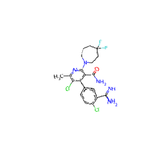 Cc1nc(N2CCCC(F)(F)CC2)c(C(N)=O)c(-c2ccc(Cl)c(C(=N)N)c2)c1Cl